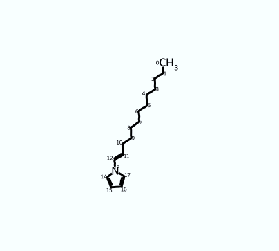 CCCCCCCCCCCC=Cn1cccc1